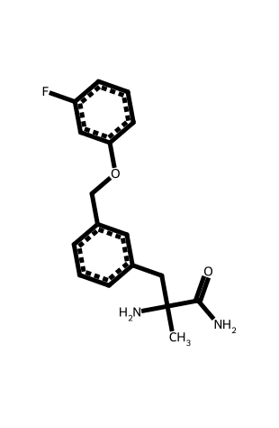 CC(N)(Cc1cccc(COc2cccc(F)c2)c1)C(N)=O